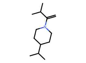 C=C(C(C)C)N1CCC(C(C)C)CC1